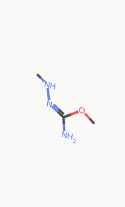 CNN=C(N)OC